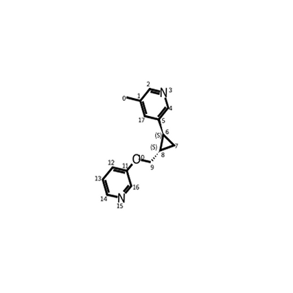 Cc1cncc([C@H]2C[C@@H]2COc2cccnc2)c1